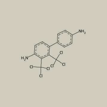 Nc1ccc(-c2ccc(N)c(C(Cl)(Cl)Cl)c2C(Cl)(Cl)Cl)cc1